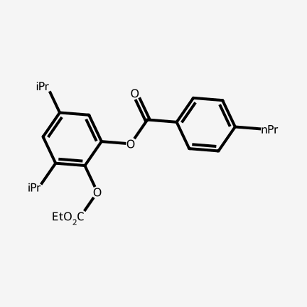 CCCc1ccc(C(=O)Oc2cc(C(C)C)cc(C(C)C)c2OC(=O)OCC)cc1